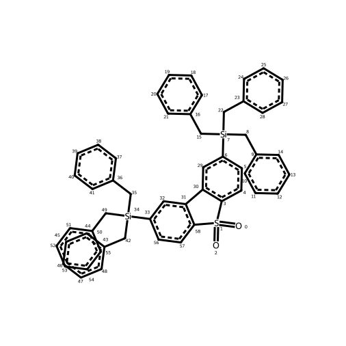 O=S1(=O)c2ccc([Si](Cc3ccccc3)(Cc3ccccc3)Cc3ccccc3)cc2-c2cc([Si](Cc3ccccc3)(Cc3ccccc3)Cc3ccccc3)ccc21